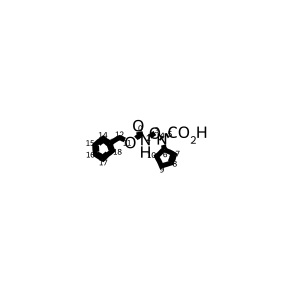 O=C(NON(C(=O)O)C1C=CCC1)OCc1ccccc1